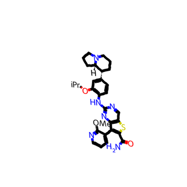 COc1ncccc1-c1c(C(N)=O)sc2cnc(Nc3ccc([C@H]4CCCN5CCC[C@H]45)cc3OC(C)C)nc12